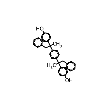 CC(Cc1ccccc1)(c1ccc(O)cc1)c1ccc(C(C)(Cc2ccccc2)c2ccc(O)cc2)cc1